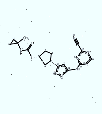 CC1(NC(=O)O[C@@H]2CC[C@H](c3cc(Nc4ccnc(C#N)n4)n[nH]3)C2)CC1